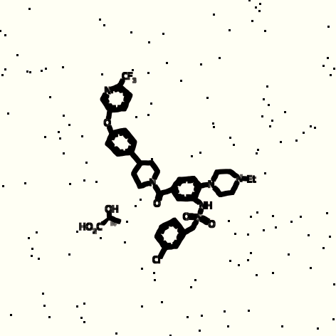 CCN1CCN(c2ccc(C(=O)N3CCC(c4ccc(Oc5ccc(C(F)(F)F)nc5)cc4)CC3)cc2NS(=O)(=O)Cc2cccc(Cl)c2)CC1.C[C@H](O)C(=O)O